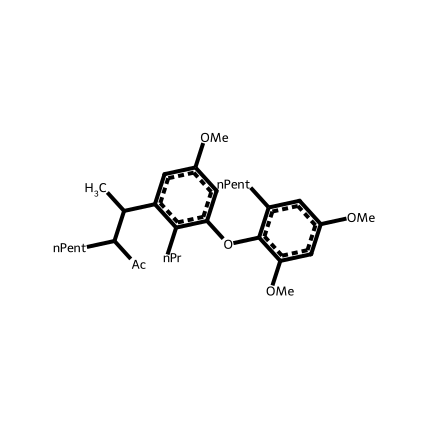 CCCCCc1cc(OC)cc(OC)c1Oc1cc(OC)cc(C(C)C(CCCCC)C(C)=O)c1CCC